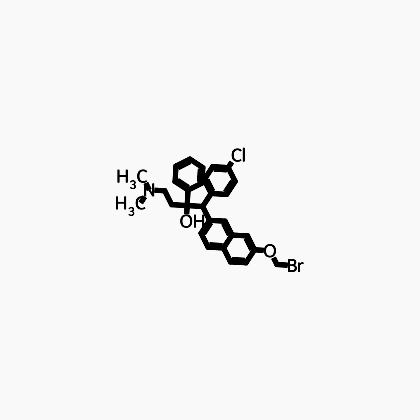 CN(C)CCC(O)(c1ccccc1)C(c1ccc(Cl)cc1)c1ccc2ccc(OCBr)cc2c1